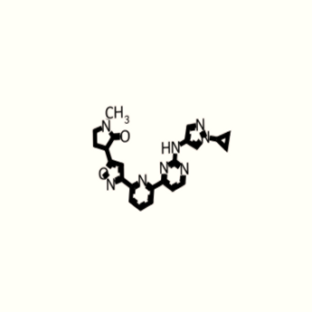 CN1CCC(c2cc(-c3cccc(-c4ccnc(Nc5cnn(C6CC6)c5)n4)n3)no2)C1=O